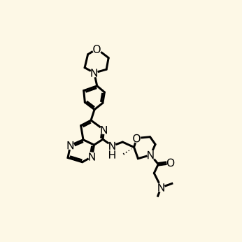 CN(C)CC(=O)N1CCO[C@](C)(CNc2nc(-c3ccc(N4CCOCC4)cc3)cc3nccnc23)C1